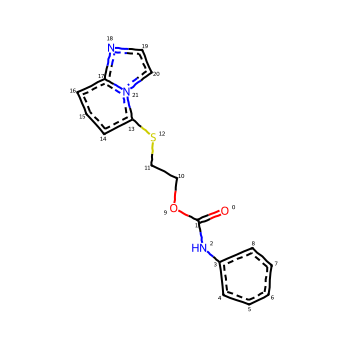 O=C(Nc1ccccc1)OCCSc1cccc2nccn12